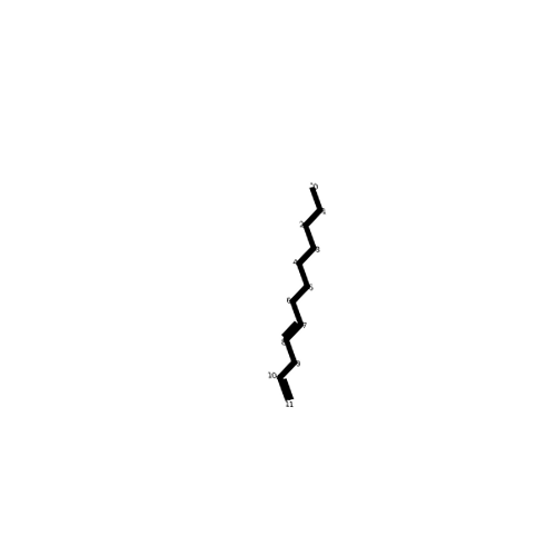 [CH2]CCCCCC/C=C/CC=C